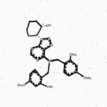 COc1ccc(CN(Cc2ccc(OC)cc2OC)c2ncnc3c2nnn3[C@@H]2CCCC[C@@H]2O)c(OC)c1